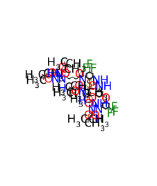 CC(C)(C)OC(=O)/N=C(/NCCCCC(=O)Nc1cc(C(F)(F)F)cc(NC(=O)Nc2cccc(Oc3cc(N/C(=N\C(=O)OC(C)(C)C)NC(=O)OC(C)(C)C)cc(C(F)(F)F)c3)c2)c1SCCNC(=O)OC(C)(C)C)NC(=O)OC(C)(C)C